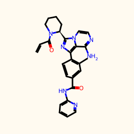 C=CC(=O)N1CCCC[C@H]1c1nc(-c2ccc(C(=O)Nc3ccccn3)cc2C)c2c(N)nccn12